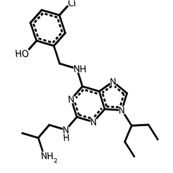 CCC(CC)n1cnc2c(NCc3cc(Cl)ccc3O)nc(NCC(C)N)nc21